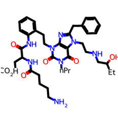 CCCn1c(=O)c2c(nc(Cc3ccccc3)n2CCNCC(O)CC)n(CCc2ccccc2NC(=O)C(CC(=O)O)NC(=O)CCCCN)c1=O